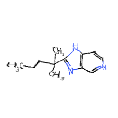 CCCC(C)(C)c1nc2cnccc2[nH]1